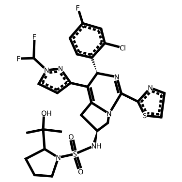 CC(C)(O)C1CCCN1S(=O)(=O)N[C@H]1CC2=C(c3ccn(C(F)F)n3)[C@H](c3ccc(F)cc3Cl)N=C(c3nccs3)N2C1